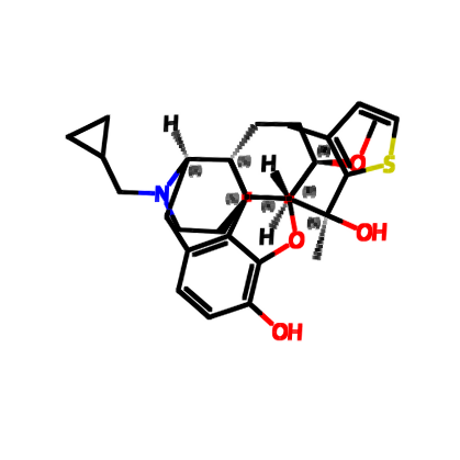 CO[C@]12CC[C@@]3(C[C@@H]1[C@](C)(O)c1sccc1C)[C@H]1Cc4ccc(O)c5c4[C@@]3(CCN1CC1CC1)[C@H]2O5